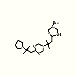 CC(C)(C)N1CNC(CC(C)(C)N2COC(CC(C)(C)P3CCCC3)SC2)SC1